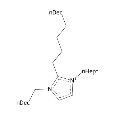 CCCCCCCCCCCCCCc1n(CCCCCCCCCCC)cc[n+]1CCCCCCC